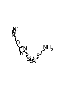 C[Si](C)(CSCCCN)O[Si](C)(C)CSc1ncc(COCCN=[N+]=[N-])cn1